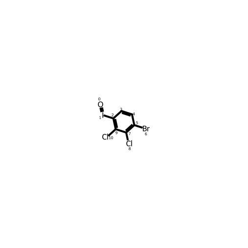 O=Ic1ccc(Br)c(Cl)c1Cl